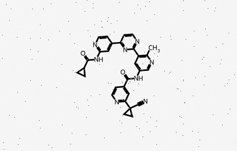 Cc1ncc(NC(=O)c2ccnc(C3(C#N)CC3)c2)cc1-c1nccc(-c2ccnc(NC(=O)C3CC3)c2)n1